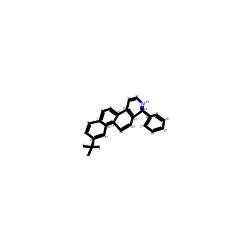 CC(C)(C)c1ccc2ccc3c4ccnc(-c5ccccc5)c4ccc3c2c1